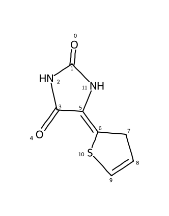 O=C1NC(=O)C(=C2CC=CS2)N1